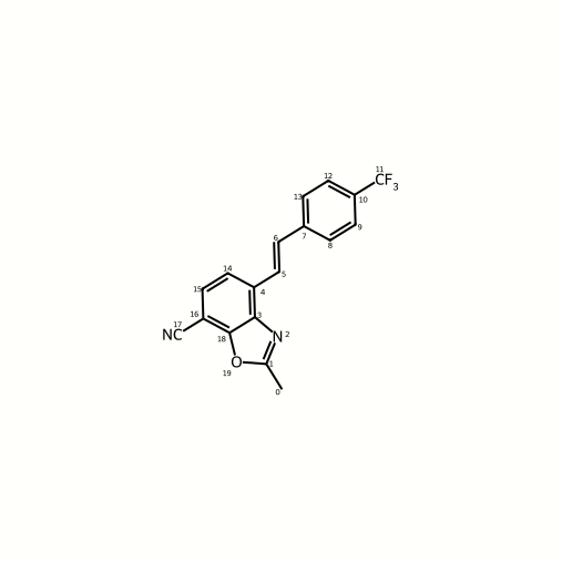 Cc1nc2c(C=Cc3ccc(C(F)(F)F)cc3)ccc(C#N)c2o1